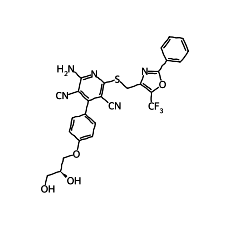 [C-]#[N+]c1c(N)nc(SCc2nc(-c3ccccc3)oc2C(F)(F)F)c(C#N)c1-c1ccc(OC[C@@H](O)CO)cc1